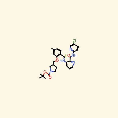 Cc1ccc(C(=S)Nc2cccnc2C(=O)Nc2ccc(Cl)cn2)c(OCC2CCN(C(=O)OC(C)(C)C)C2)c1